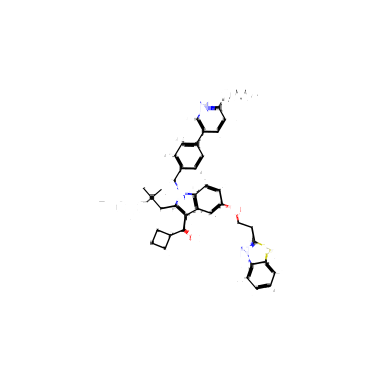 CCOC(=O)C(C)(C)Cc1c(C(=O)C2CCC2)c2cc(OCCc3nc4ccccc4s3)ccc2n1Cc1ccc(-c2ccc(OC)nc2)cc1